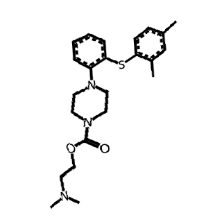 Cc1ccc(Sc2ccccc2N2CCN(C(=O)OCCN(C)C)CC2)c(C)c1